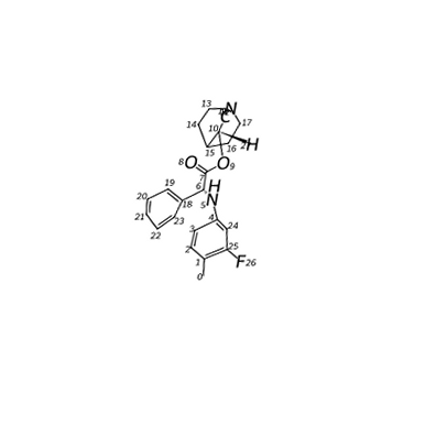 Cc1ccc(N[C@@H](C(=O)O[C@H]2CN3CCC2CC3)c2ccccc2)cc1F